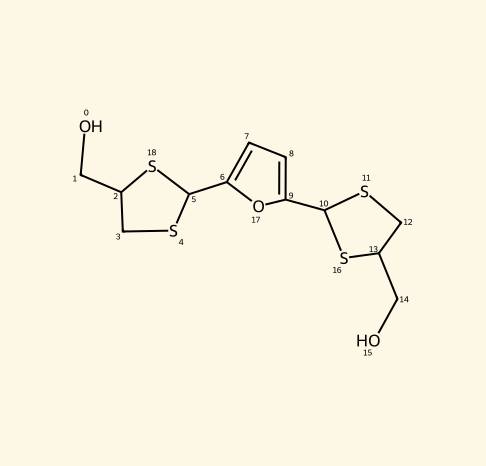 OCC1CSC(c2ccc(C3SCC(CO)S3)o2)S1